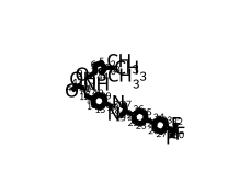 CC(C)(C)c1ccc(C(=O)N[C@@H](Cc2ccc(-c3ncc(-c4ccc(-c5ccc(C(F)(F)F)cc5)cc4)cn3)cc2)C(=O)O)s1